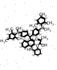 C=C(C)C(O)OC1CCCCC1Nc1ccc(C(c2ccc(N(C)c3c(C)cc(C)cc3C)cc2)c2ccc(N(C)c3c(C)cc(C)cc3C)cc2)c2ccccc12